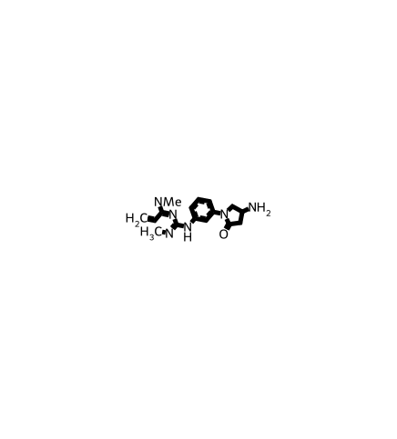 C=C/C(=N\C(=N/C)Nc1cccc(N2CC(N)CC2=O)c1)NC